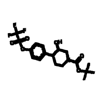 CC(C)(C)OC(=O)N1CCC(c2ccc(OS(=O)(=O)C(F)(F)F)cc2)C(O)C1